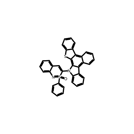 O=S1(c2ccccc2)=Nc2ccccc2C=C1n1c2ccccc2c2c3ccccc3c3c4ccccc4sc3c21